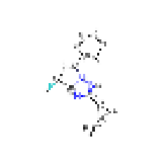 FC1CC(c2ccccc2)n2nc(C3CC3C(F)(F)F)nc21